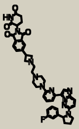 O=C1CCC(N2C(=O)c3ccc(C4CN(CCN5CCN(c6cccc(-c7cnc8ccc(N9CCCC9c9cccc(F)c9)nn78)n6)CC5)C4)cc3C2=O)C(=O)N1